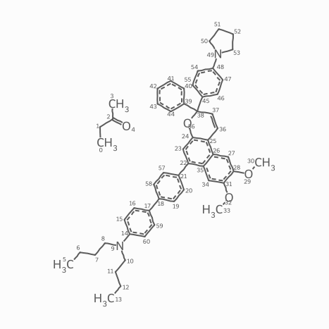 CCC(C)=O.CCCCN(CCCC)c1ccc(-c2ccc(-c3cc4c(c5cc(OC)c(OC)cc35)C=CC(c3ccccc3)(c3ccc(N5CCCC5)cc3)O4)cc2)cc1